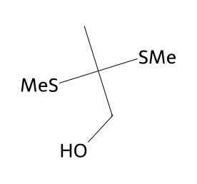 CSC(C)(CO)SC